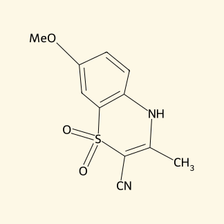 COc1ccc2c(c1)S(=O)(=O)C(C#N)=C(C)N2